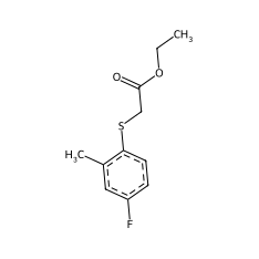 CCOC(=O)CSc1ccc(F)cc1C